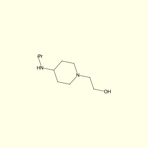 CC(C)NC1CCN(CCO)CC1